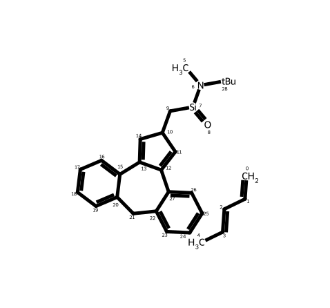 C=CC=CC.CN([Si](=O)CC1C=C2C(=C1)c1ccccc1Cc1ccccc12)C(C)(C)C